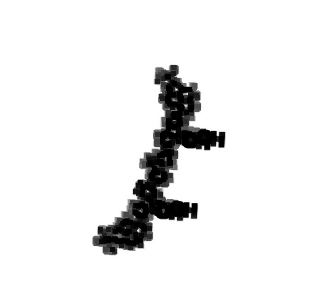 CC(C)(C)c1cc2ccc3ccc(-c4ccc5c(c4)C(CO)(CCCO)c4cc(-c6ccc7c(c6)C(C)(C)c6cc(-c8ccc9c(c8)C(CO)(CCCO)c8cc(-c%10ccc%11ccc%12cc(C(C)(C)C)cc%13ccc%10c%11c%12%13)ccc8-9)ccc6-7)ccc4-5)c4ccc(c1)c2c34